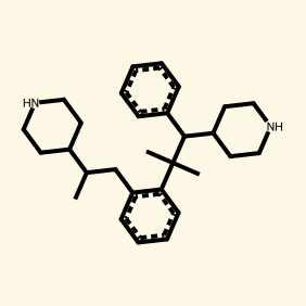 CC(Cc1ccccc1C(C)(C)C(c1ccccc1)C1CCNCC1)C1CCNCC1